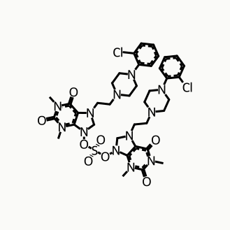 Cn1c2c(c(=O)n(C)c1=O)N(CCN1CCN(c3ccccc3Cl)CC1)CN2OS(=O)(=O)ON1CN(CCN2CCN(c3ccccc3Cl)CC2)c2c1n(C)c(=O)n(C)c2=O